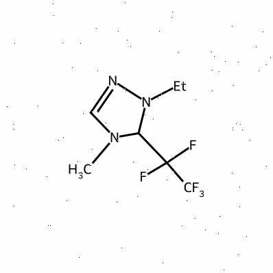 CCN1N=CN(C)C1C(F)(F)C(F)(F)F